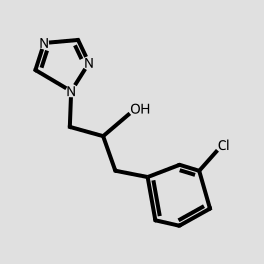 OC(Cc1cccc(Cl)c1)Cn1cncn1